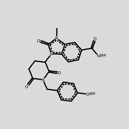 CNC(=O)c1ccc2c(c1)n(C)c(=O)n2C1CCC(=O)N(Cc2ccc(OC)cc2)C1=O